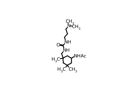 CC(=O)NC1CC(C)(C)CC(C)(CNC(=O)NCCCN(C)C)C1